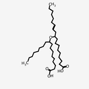 CCCCCC/C=C/CC(CCCCCCCCC(=O)O)OC(CCCCCCCC)CCCCCCCCC(=O)O